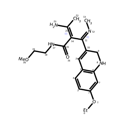 CCOc1ccc2c(c1)NCC(C(=N/C)/C(C(=O)NCCOC)=C(\C)N)=C2